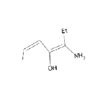 C/C=C\C(O)=C(\N)CC